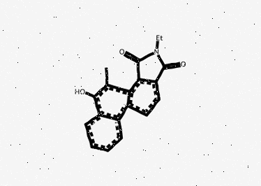 CCN1C(=O)c2ccc3c(c(C)c(O)c4ccccc43)c2C1=O